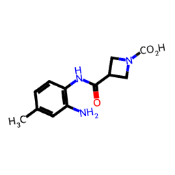 Cc1ccc(NC(=O)C2CN(C(=O)O)C2)c(N)c1